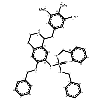 COc1cc(CC2NCCc3cc(OCc4ccccc4)c(OP(=O)(OCc4ccccc4)OCc4ccccc4)cc32)cc(OC)c1OC